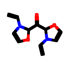 C=CN1C=COC1C(=O)C1OC=CN1C=C